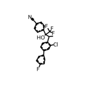 CC(c1ccc(-c2ccc(F)cc2)cc1Cl)C(O)(c1ccc(C#N)cc1)C(F)(F)F